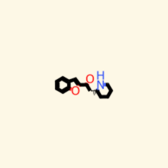 O=C(C[C@H]1CCCCN1)c1cc2ccccc2o1